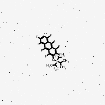 CC(C)[Si](Oc1c(F)c(F)c2c(F)c3c(F)[c]c(F)c(F)c3c(F)c2c1F)(C(C)C)C(C)C